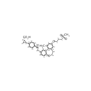 Cc1cc(OCCCS(C)(=O)=O)cc2c1-c1cc(CNc3ccc([C@H]4C[C@@H]4C(=O)O)cc3)ccc1OCC2